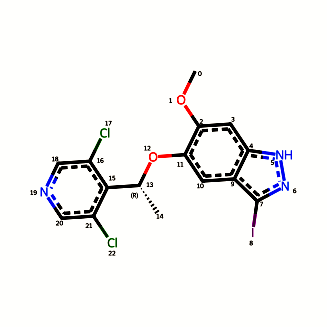 COc1cc2[nH]nc(I)c2cc1O[C@H](C)c1c(Cl)cncc1Cl